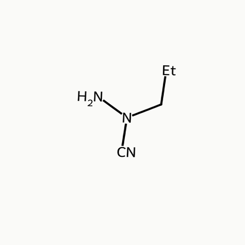 CCCN(N)C#N